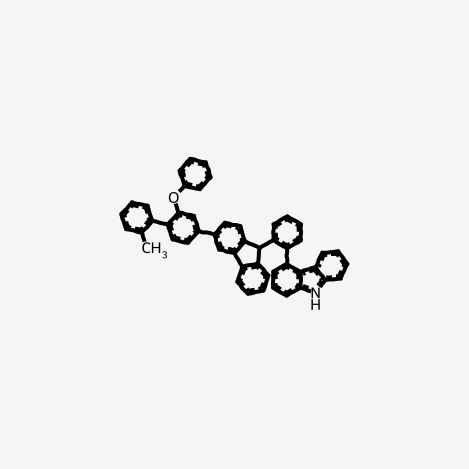 Cc1ccccc1-c1ccc(-c2ccc3c(c2)-c2ccccc2C3c2ccccc2-c2cccc3[nH]c4ccccc4c23)cc1Oc1ccccc1